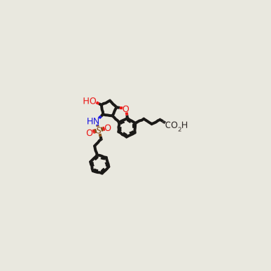 O=C(O)CCCc1cccc2c1OC1CC(O)C(NS(=O)(=O)CCc3ccccc3)C21